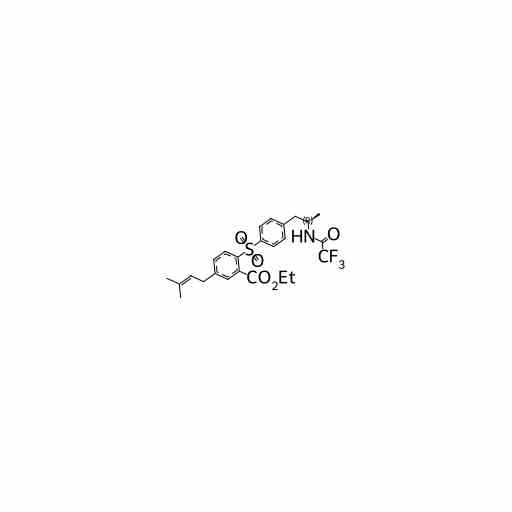 CCOC(=O)c1cc(CC=C(C)C)ccc1S(=O)(=O)c1ccc(C[C@@H](C)NC(=O)C(F)(F)F)cc1